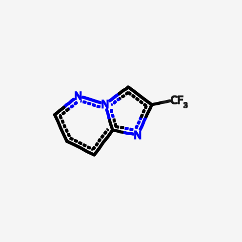 FC(F)(F)c1cn2ncccc2n1